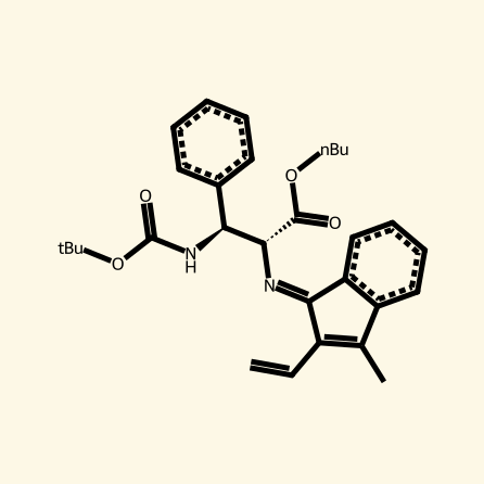 C=CC1=C(C)c2ccccc2/C1=N\[C@@H](C(=O)OCCCC)[C@@H](NC(=O)OC(C)(C)C)c1ccccc1